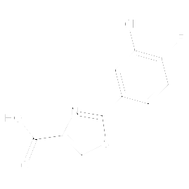 O=C(O)c1csc(-c2ccc(F)c(Cl)c2)n1